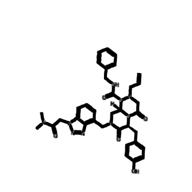 C=CCN1CC(=O)N2[C@@H](Cc3ccc(O)cc3)C(=O)N(Cc3cccc4c3nnn4CC(=O)N(C)C)C[C@@H]2N1C(=O)NCc1ccccc1